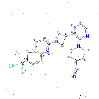 N#CC1CCN(c2nccnc2C2CN(c3ccc4cc(C(F)(F)F)ccc4n3)C2)CC1